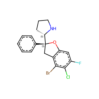 Fc1cc2c(c(Br)c1Cl)C[C@](c1ccccc1)([C@@H]1CCCN1)O2